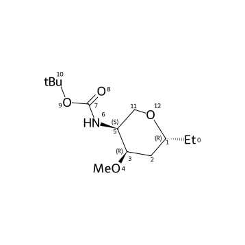 CC[C@@H]1C[C@@H](OC)[C@@H](NC(=O)OC(C)(C)C)CO1